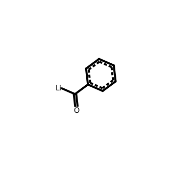 [Li][C](=O)c1ccccc1